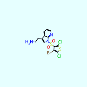 NCCc1cn(S(=O)(=O)c2c(Cl)sc(Cl)c2Br)c2ncccc12